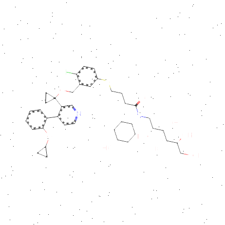 O=C(CCCSc1ccc(Cl)c(COC2(c3cnccc3-c3ccccc3OC3CC3)CC2)c1)N(C[C@@H](O)[C@H](O)[C@@H](O)[C@@H](O)CO)[C@H]1CC[C@@H](O)CC1